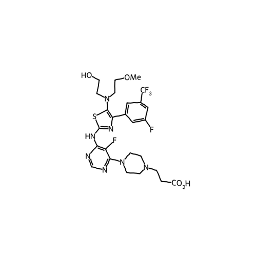 COCCN(CCO)c1sc(Nc2ncnc(N3CCN(CCC(=O)O)CC3)c2F)nc1-c1cc(F)cc(C(F)(F)F)c1